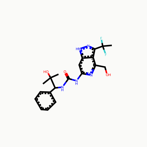 CC(F)(F)c1n[nH]c2cc(NC(=O)NC(c3ccccc3)C(C)(C)O)nc(CO)c12